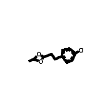 CC1OC(CCc2ccc(Cl)cc2)O1